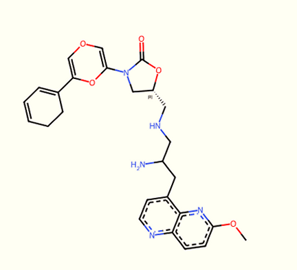 COc1ccc2nccc(CC(N)CNC[C@@H]3CN(C4=COC=C(C5=CC=CCC5)O4)C(=O)O3)c2n1